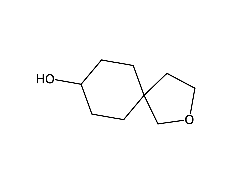 OC1CCC2(CCOC2)CC1